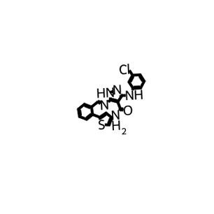 NC(=O)c1c(Nc2cccc(Cl)c2)n[nH]c1/N=C/c1ccccc1-c1cccs1